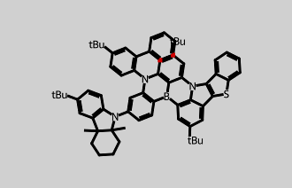 CC(C)(C)c1ccc(N2c3cc(N4c5ccc(C(C)(C)C)cc5C5(C)CCCCC45C)ccc3B3c4c2cc(C(C)(C)C)cc4-n2c4c3cc(C(C)(C)C)cc4c3sc4ccccc4c32)c(-c2ccccc2)c1